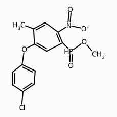 CO[PH](=O)c1cc(Oc2ccc(Cl)cc2)c(C)cc1[N+](=O)[O-]